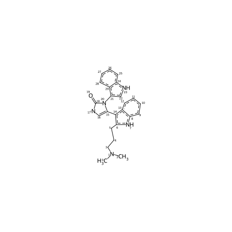 CN(C)CCCc1[nH]c2ccccc2c1C1=C[N]C(=O)N1c1c[nH]c2ccccc12